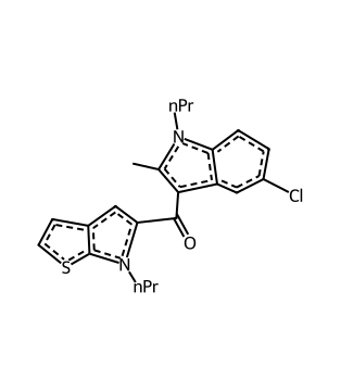 CCCn1c(C)c(C(=O)c2cc3ccsc3n2CCC)c2cc(Cl)ccc21